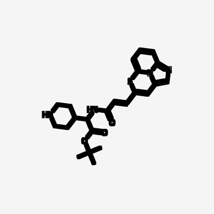 CC(C)(C)OC(=O)C(NC(=O)C=CC1=Cc2cnc3cccc(n23)S1)C1CCNCC1